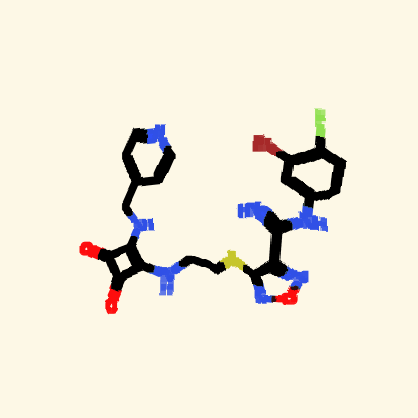 N=C(Nc1ccc(F)c(Br)c1)c1nonc1SCCNc1c(NCc2ccncc2)c(=O)c1=O